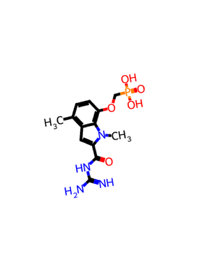 Cc1ccc(OCP(=O)(O)O)c2c1cc(C(=O)NC(=N)N)n2C